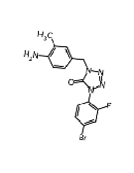 Cc1cc(Cn2nnn(-c3ccc(Br)cc3F)c2=O)ccc1N